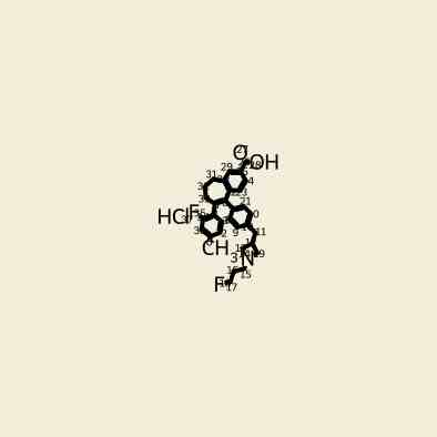 Cc1ccc(C2=C(c3ccc(CC4CN(CCCF)C4)cc3)c3ccc(C(=O)O)cc3CCC2)c(F)c1.Cl